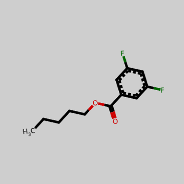 CCCCCOC(=O)c1cc(F)cc(F)c1